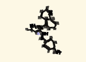 CCCc1ccc(SN/C(=C/C(C)=N)Nc2cccc3ncccc23)cc1